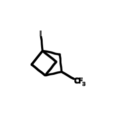 FC(F)(F)C1CC2(I)CC1C2